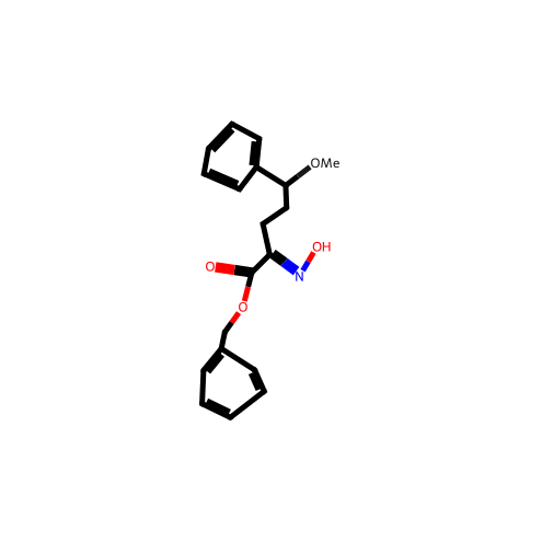 COC(CCC(=NO)C(=O)OCc1ccccc1)c1ccccc1